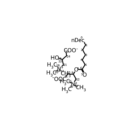 CCCCCCCCCCCCCCCC(=O)OC(CC(=O)[O-])C[N+](C)(C)C.C[N+](C)(C)CC(O)CC(=O)[O-]